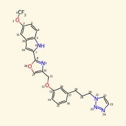 FC(F)(F)Oc1ccc2[nH]c(-c3nc(COc4cccc(CCCn5ccnn5)c4)co3)cc2c1